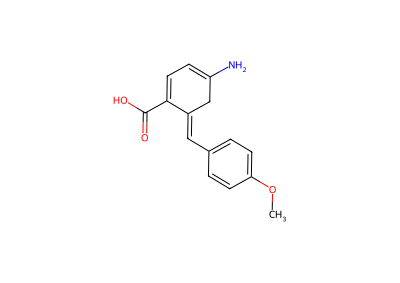 COc1ccc(C=C2CC(N)=CC=C2C(=O)O)cc1